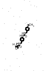 COc1ccc(CNC(=O)Nc2ccc(CNC(=O)C3(C)COC3)cc2)cc1